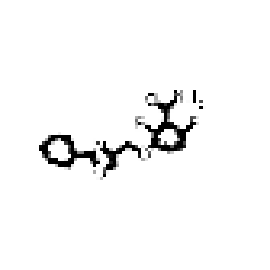 NC(=O)c1c(F)ccc(OCc2coc(-c3ccccc3)n2)c1F